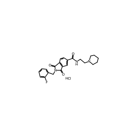 Cl.O=C(NCCN1CCCCC1)c1ccc2c(c1)C(=O)N(Cc1ccccc1F)C2=O